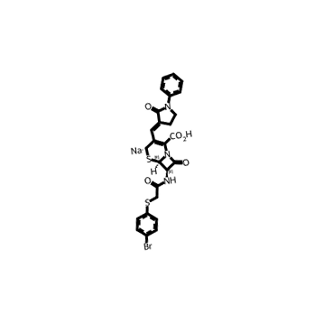 O=C(CSc1ccc(Br)cc1)N[C@@H]1C(=O)N2C(C(=O)O)=C(C=C3CCN(c4ccccc4)C3=O)CS[C@H]12.[Na]